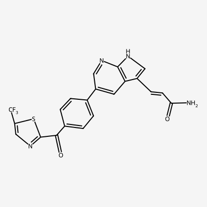 NC(=O)C=Cc1c[nH]c2ncc(-c3ccc(C(=O)c4ncc(C(F)(F)F)s4)cc3)cc12